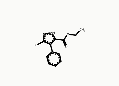 CCOC(=O)c1[nH]nc(Cl)c1-c1ccccc1